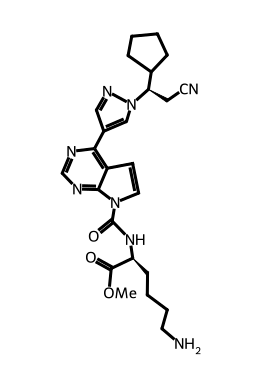 COC(=O)[C@H](CCCCN)NC(=O)n1ccc2c(-c3cnn([C@H](CC#N)C4CCCC4)c3)ncnc21